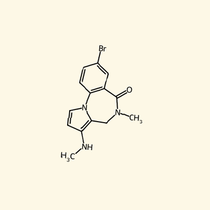 CNc1ccn2c1CN(C)C(=O)c1cc(Br)ccc1-2